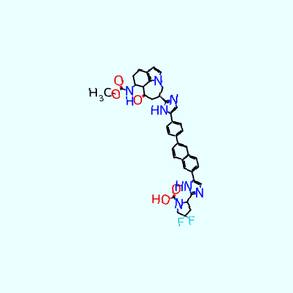 COC(=O)N[C@H]1CCc2ccn3c2C1C(=O)C[C@H](c1ncc(-c2ccc(-c4ccc5cc(-c6cnc(C7CC(F)(F)CN7C(=O)O)[nH]6)ccc5c4)cc2)[nH]1)C3